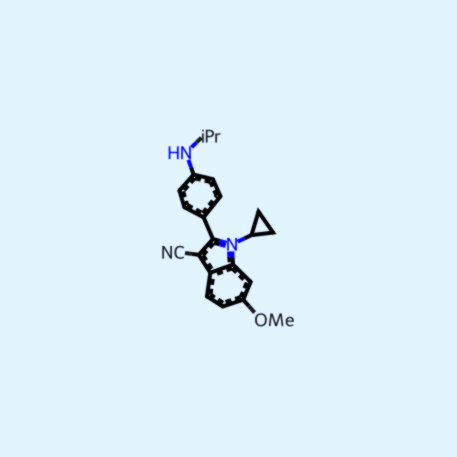 COc1ccc2c(C#N)c(-c3ccc(NC(C)C)cc3)n(C3CC3)c2c1